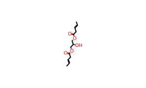 CC=CCC(=O)OCC(O)COC(=O)CC=CC